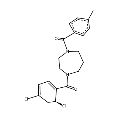 Cc1ccc(C(=O)N2CCCN(C(=O)C3=CC=C(Cl)C[C@@H]3Cl)CC2)cc1